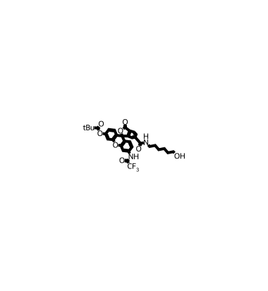 CC(C)(C)C(=O)Oc1ccc2c(c1)Oc1cc(NC(=O)C(F)(F)F)ccc1C21OC(=O)c2ccc(C(=O)NCCCCCCO)cc21